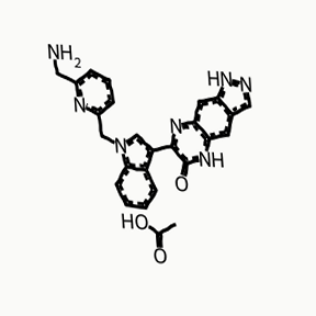 CC(=O)O.NCc1cccc(Cn2cc(-c3nc4cc5[nH]ncc5cc4[nH]c3=O)c3ccccc32)n1